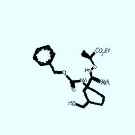 C=C(ONC(=N)C1(NC(=O)OCc2ccccc2)CCC(CO)C1)C(=O)OCC